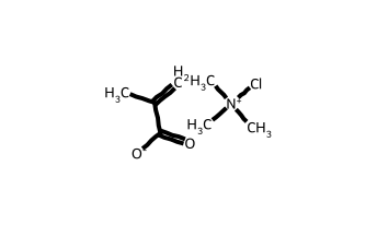 C=C(C)C(=O)[O-].C[N+](C)(C)Cl